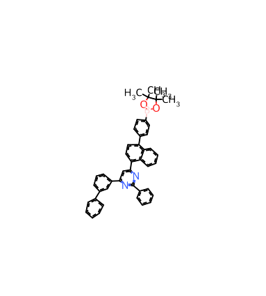 CC1(C)OB(c2ccc(-c3ccc(-c4cc(-c5cccc(-c6ccccc6)c5)nc(-c5ccccc5)n4)c4ccccc34)cc2)OC1(C)C